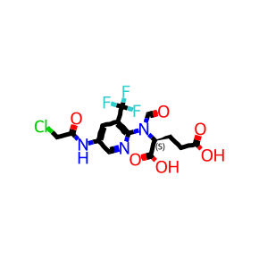 O=CN(c1ncc(NC(=O)CCl)cc1C(F)(F)F)[C@@H](CCC(=O)O)C(=O)O